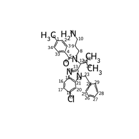 Cc1ccc(C(=O)N(CCCN)C(c2nc3ccc(Cl)cc3n2Cc2ccccc2)C(C)C)cc1